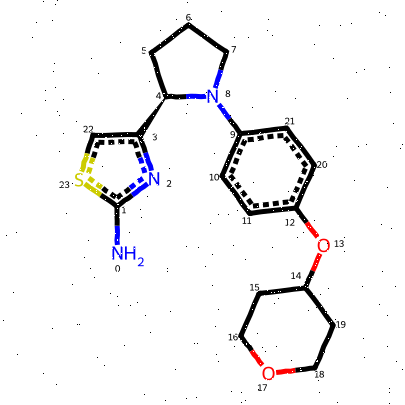 Nc1nc([C@H]2CCCN2c2ccc(OC3CCOCC3)cc2)cs1